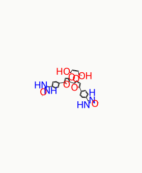 CONC(=N)c1ccc(-c2ccc(-c3ccc(-c4ccc(C(=N)NOC)cc4)o3)o2)cc1.O=C(O)/C=C\C(=O)O